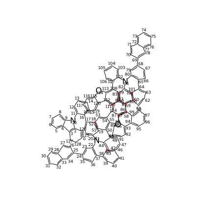 C1=Cc2c(c3ccccc3n2-c2ccccc2-c2ccc(N(c3cc(-c4ccc5ccccc5c4)ccc3-c3ccccc3)c3ccccc3-c3cccc4c3oc3cc(-c5cccc(-c6ccc(-c7ccc8ccccc8c7)cc6N(c6ccc(-c7cc8ccccc8c8ccccc78)cc6)c6ccccc6-c6cccc7c6oc6ccccc67)c5)ccc34)cc2)CC1